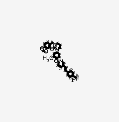 Cc1cc(N2CCCN(Cc3ccc4c(c3)OCO4)C2=O)ccc1Oc1ccc(C=Cc2ccc(C(F)(F)F)cc2)cn1